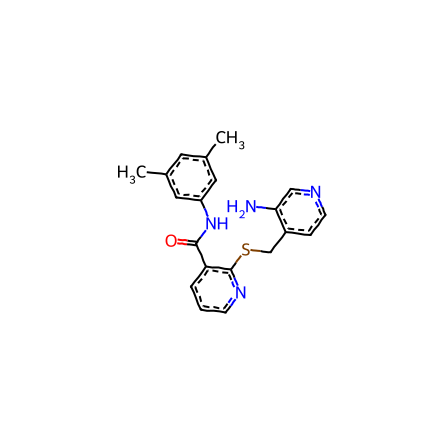 Cc1cc(C)cc(NC(=O)c2cccnc2SCc2ccncc2N)c1